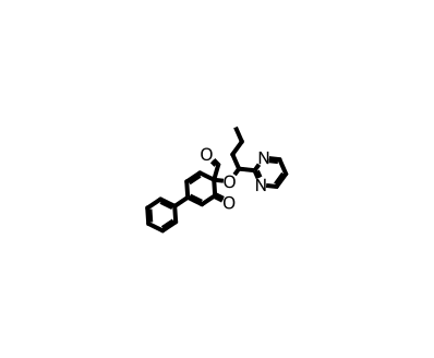 CCCC(OC1(C=O)C=CC(c2ccccc2)=CC1=O)c1ncccn1